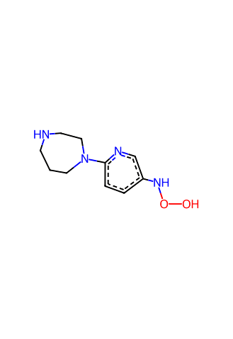 OONc1ccc(N2CCCNCC2)nc1